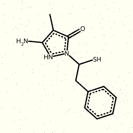 Cc1c(N)[nH]n(C(S)Cc2ccccc2)c1=O